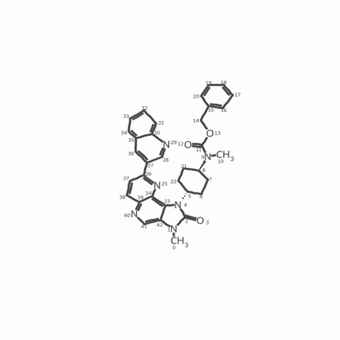 Cn1c(=O)n([C@H]2CC[C@H](N(C)C(=O)OCc3ccccc3)CC2)c2c3nc(-c4cnc5ccccc5c4)ccc3ncc21